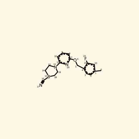 Cc1ccc(COc2cccc(N3CCB(C#N)CC3)n2)c(F)c1